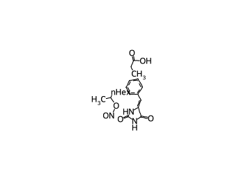 CCC(=O)O.CCCCCCC(C)ON=O.O=C1NC(=O)C(=Cc2ccccc2)N1